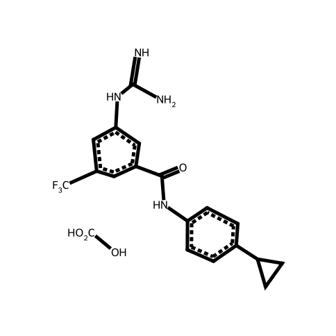 N=C(N)Nc1cc(C(=O)Nc2ccc(C3CC3)cc2)cc(C(F)(F)F)c1.O=C(O)O